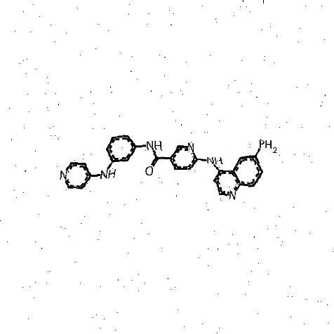 O=C(Nc1cccc(Nc2ccncc2)c1)c1ccc(Nc2ccnc3ccc(P)cc23)nc1